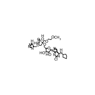 COCCOCC(COCc1nnn[nH]1)(OC[C@H]1O[C@@H](n2ncc3c(NC4CCCC4)nc(Cl)nc32)[C@H](O)[C@@H]1O)P(=O)(O)O